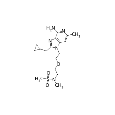 Cc1cc2c(nc(CC3CC3)n2CCOCCN(C)S(C)(=O)=O)c(N)n1